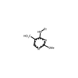 CCNc1nc(SC)ncc1C(=O)O